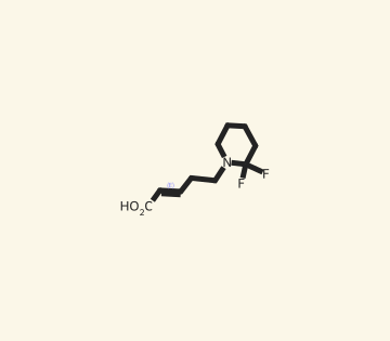 O=C(O)/C=C/CCN1CCCCC1(F)F